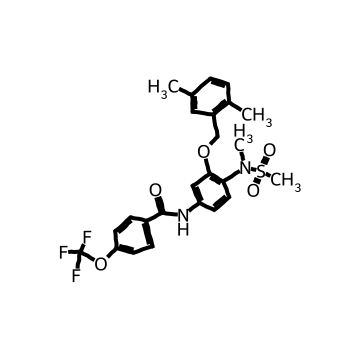 Cc1ccc(C)c(COc2cc(NC(=O)c3ccc(OC(F)(F)F)cc3)ccc2N(C)S(C)(=O)=O)c1